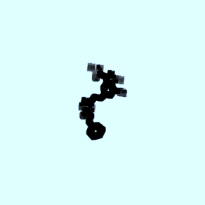 CCc1cc(C[CH]C2=N[N+]([O-])(CCc3ccccc3)N=N2)cc2c(C(N)=O)n[nH]c12